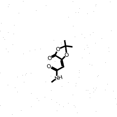 CNC(=O)C=C1OC(C)(C)OC1=O